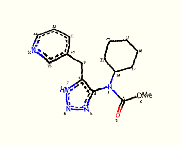 COC(=O)N(c1nn[nH]c1Cc1cccnc1)C1CCCCC1